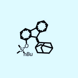 CCCC[Si](C)(C)Oc1cccc2c1C(=C1C3CC4CC(C3)CC1C4)c1ccccc1-2